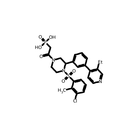 CCc1cnccc1-c1cccc(C2CN(C(=O)CP(=O)(O)O)CCN2S(=O)(=O)c2cccc(Cl)c2C)c1